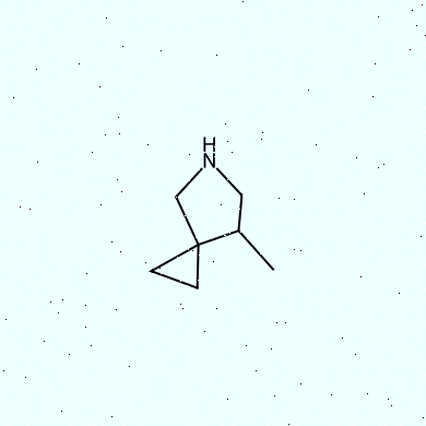 CC1CNCC12CC2